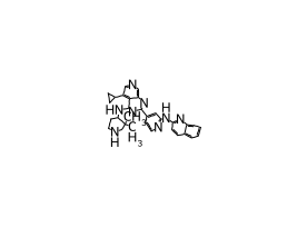 CC1(C)CNCCC1Nc1nc(-c2ccnc(Nc3ccc4ccccc4n3)c2)nc2cncc(C3CC3)c12